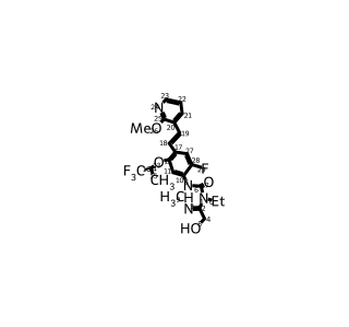 CCN(C(=N)CO)C(=O)N(C)c1cc(O[C@@H](C)C(F)(F)F)c(/C=C/c2cccnc2OC)cc1F